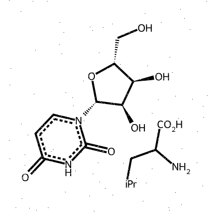 CC(C)CC(N)C(=O)O.O=c1ccn([C@@H]2O[C@H](CO)[C@@H](O)[C@H]2O)c(=O)[nH]1